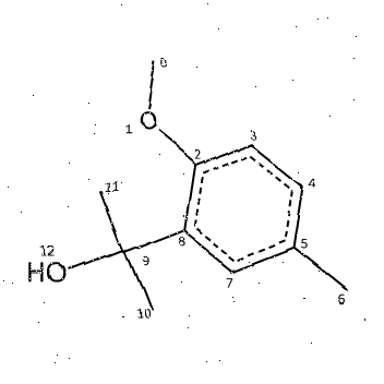 COc1ccc(C)cc1C(C)(C)O